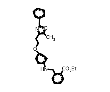 CCOC(=O)c1ccccc1CNc1ccc(OCCc2nc(-c3ccccc3)oc2C)cc1